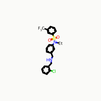 CCN(c1cccc(CNCc2ccccc2Cl)c1)S(=O)(=O)c1cccc(C(F)(F)F)c1